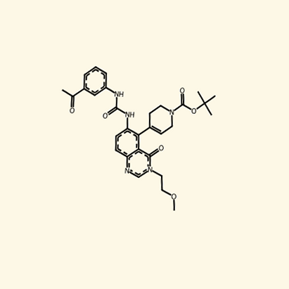 COCCn1cnc2ccc(NC(=O)Nc3cccc(C(C)=O)c3)c(C3=CCN(C(=O)OC(C)(C)C)CC3)c2c1=O